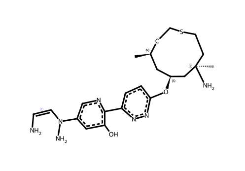 C[C@H]1CCSCC[C@@](C)(N)C[C@@H](Oc2ccc(-c3ncc(N(N)/C=C\N)cc3O)nn2)C1